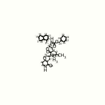 CC(C)C[C@H](CC(=O)[C@H](Cc1cccc2ccccc12)NC(=O)OCc1ccccc1)C(=O)N[C@H](C=O)C[C@@H]1CCCNC1=O